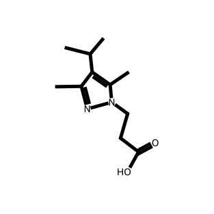 Cc1nn(CCC(=O)O)c(C)c1C(C)C